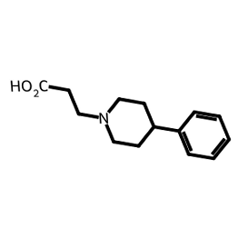 O=C(O)CCN1CCC(c2ccccc2)CC1